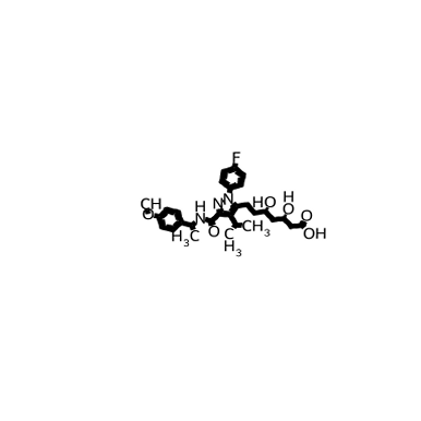 COc1ccc(C(C)NC(=O)c2nn(-c3ccc(F)cc3)c(CC[C@@H](O)C[C@@H](O)CC(=O)O)c2C(C)C)cc1